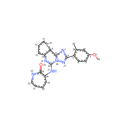 COc1ccc(-c2nc3c4ccccc4nc(Nc4ccccnc4=O)n3n2)c(C)c1